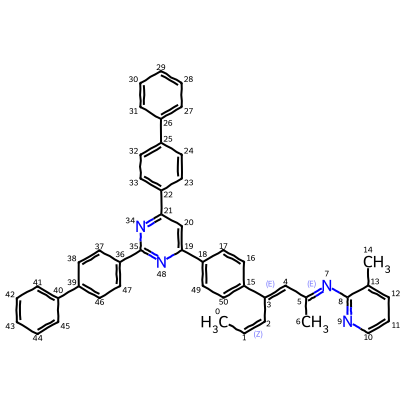 C\C=C/C(=C\C(C)=N\c1ncccc1C)c1ccc(-c2cc(-c3ccc(-c4ccccc4)cc3)nc(-c3ccc(-c4ccccc4)cc3)n2)cc1